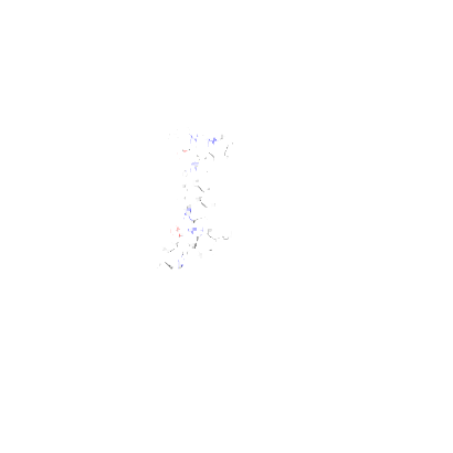 CCCCN(C)C(=O)C(c1ccccn1)N(C)Cc1ccc2nc(NC(=O)c3cccnc3-c3ccc(C(F)(F)F)cc3)ccc2c1